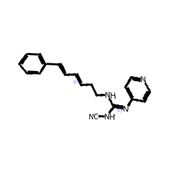 N#CN/C(=N/c1ccncc1)NCC/C=C/C=Cc1ccccc1